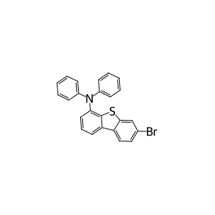 Brc1ccc2c(c1)sc1c(N(c3ccccc3)c3ccccc3)cccc12